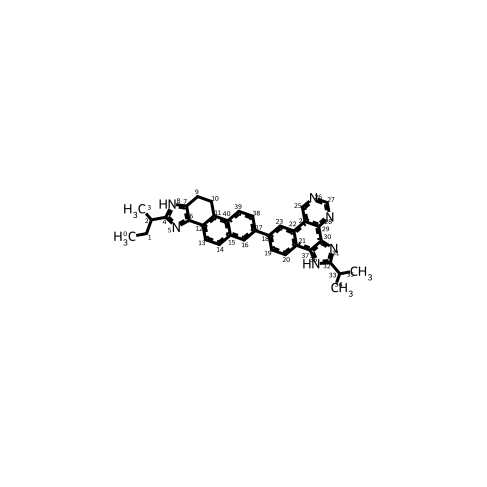 CCC(C)c1nc2c([nH]1)CCc1c-2ccc2cc(-c3ccc4c(c3)c3cncnc3c3nc(C(C)C)[nH]c43)ccc12